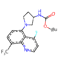 CC(C)(C)OC(=O)NC1CCN(c2ccc(C(F)(F)F)c3nccc(F)c23)C1